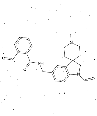 CN1CCC2(CC1)CN(C=O)c1ccc(CNC(=O)c3ccccc3C=O)cc12